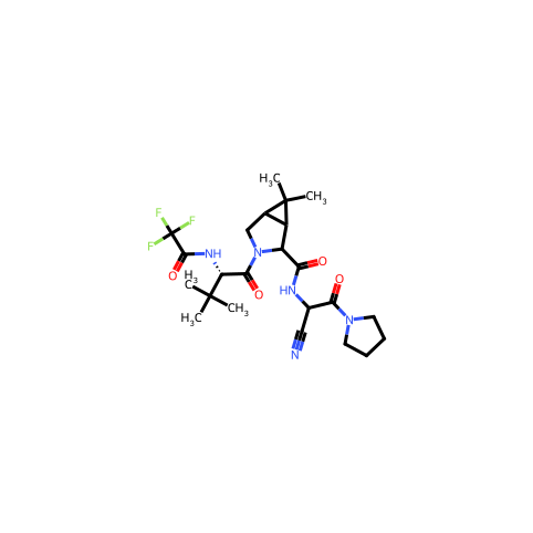 CC1(C)C2CN(C(=O)[C@@H](NC(=O)C(F)(F)F)C(C)(C)C)C(C(=O)NC(C#N)C(=O)N3CCCC3)C21